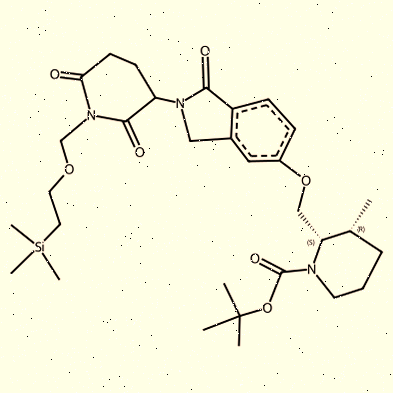 C[C@@H]1CCCN(C(=O)OC(C)(C)C)[C@@H]1COc1ccc2c(c1)CN(C1CCC(=O)N(COCC[Si](C)(C)C)C1=O)C2=O